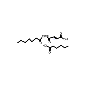 CCCCCC(=O)O.CCCCCCC(=O)O.O=C(O)/C=C/C(=O)O